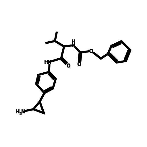 CC(C)C(NC(=O)OCc1ccccc1)C(=O)Nc1ccc(C2CC2N)cc1